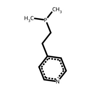 CP(C)CCc1ccncc1